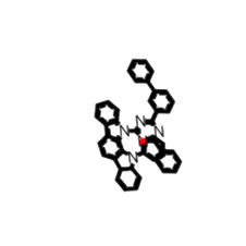 C1=CC2c3ccc4c5ccccc5n(-c5nc(-c6ccccc6)nc(-c6cccc(-c7ccccc7)c6)n5)c4c3N(c3ccccc3)C2C=C1